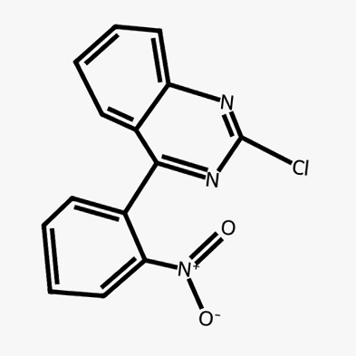 O=[N+]([O-])c1ccccc1-c1nc(Cl)nc2ccccc12